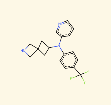 FC(F)(F)c1ccc(N(c2cccnc2)C2CC3(CNC3)C2)cc1